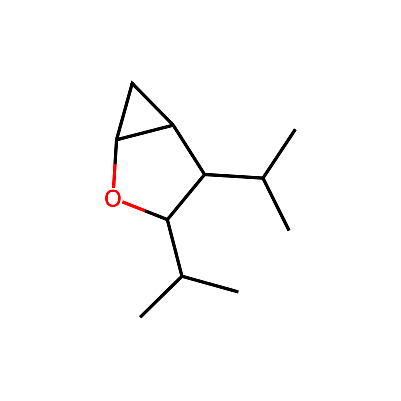 CC(C)C1OC2CC2C1C(C)C